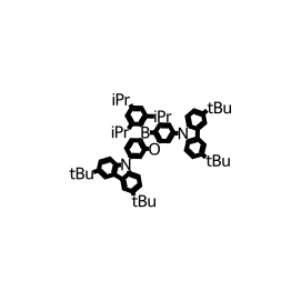 CC(C)c1cc(C(C)C)c(B2c3ccc(-n4c5ccc(C(C)(C)C)cc5c5cc(C(C)(C)C)ccc54)cc3Oc3cc(-n4c5ccc(C(C)(C)C)cc5c5cc(C(C)(C)C)ccc54)ccc32)c(C(C)C)c1